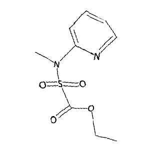 CCOC(=O)S(=O)(=O)N(C)c1ccccn1